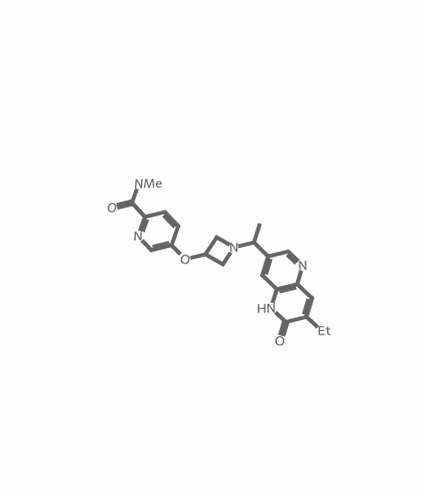 CCc1cc2ncc(C(C)N3CC(Oc4ccc(C(=O)NC)nc4)C3)cc2[nH]c1=O